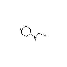 CC(C)C(C)N(C)C1CCOCC1